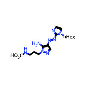 CCCCCCn1ccnc1/N=N/c1cnn(CCCNC(=O)O)c1N